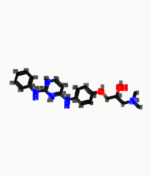 CN(C)CC(O)COc1ccc(Nc2ccnc(Nc3ccccc3)n2)cc1